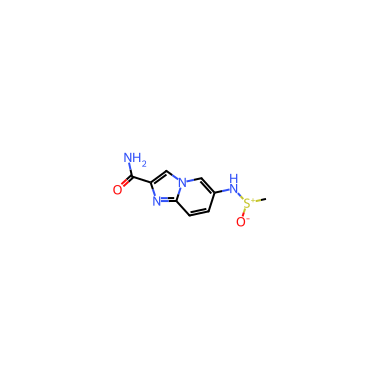 C[S+]([O-])Nc1ccc2nc(C(N)=O)cn2c1